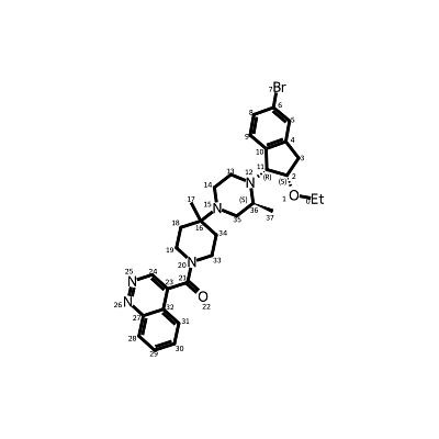 CCO[C@H]1Cc2cc(Br)ccc2[C@H]1N1CCN(C2(C)CCN(C(=O)c3cnnc4ccccc34)CC2)C[C@@H]1C